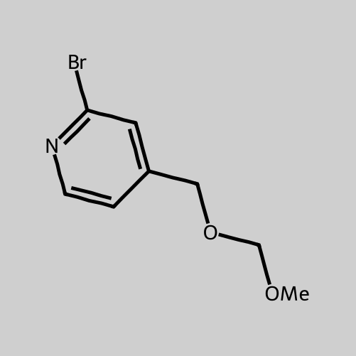 COCOCc1ccnc(Br)c1